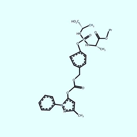 Cc1cc(OC(=O)OCc2ccc(OP(=O)(N[C@@H](C)C(=O)O)N[C@@H](C)C(=O)OC(C)C)cc2)n(-c2ccccc2)n1